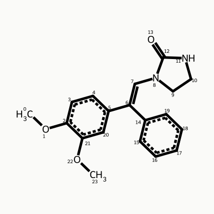 COc1ccc(C(=CN2CCNC2=O)c2ccccc2)cc1OC